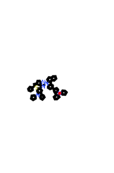 c1ccc(-c2cc3ccc4nc(-n5c6ccc(-c7ccc8c(c7)c7ccccc7n8-c7ccccc7)cc6c6c7ccccc7ccc65)nc(-c5ccc6c(c5)c5ccccc5n6-c5ccccc5)c4c3s2)cc1